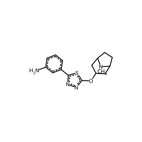 CN1C2CCC1CC(Oc1nnc(-c3cccc(N)c3)s1)C2